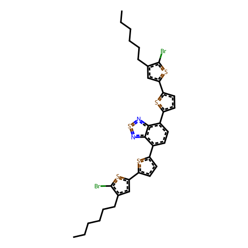 CCCCCCc1cc(-c2ccc(-c3ccc(-c4ccc(-c5cc(CCCCCC)c(Br)s5)s4)c4nsnc34)s2)sc1Br